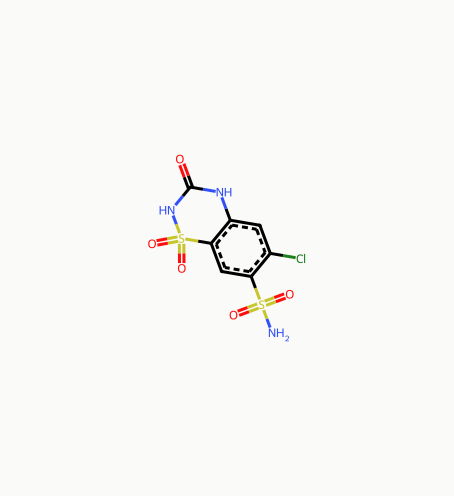 NS(=O)(=O)c1cc2c(cc1Cl)NC(=O)NS2(=O)=O